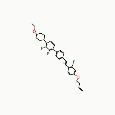 C=CCCOc1ccc(/C=C/c2ccc(-c3ccc(C4CCC(OCC)CC4)c(F)c3F)cc2)c(F)c1